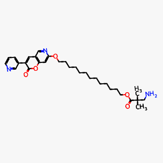 CC(C)(CN)C(=O)OCCCCCCCCCCCCCOc1cc2oc(=O)c(-c3cccnc3)cc2cn1